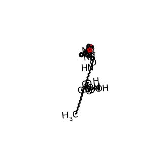 CCCCCCCCCCCCCCC(=O)OCC(COP(=O)(O)OCCNO)OC(=O)CCCCCCCCNCCOc1ccc2c(c1)C1=[N+]3C2=Nc2c4ccccc4c4n2[C@]32n3c(c5ccccc5c3=N1)=NC1=[N+]2C(=N4)c2ccccc21